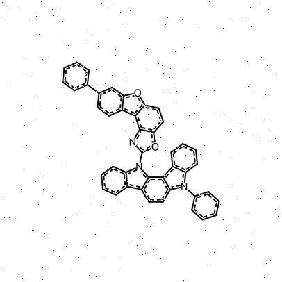 c1ccc(-c2ccc3c(c2)oc2ccc4oc(-n5c6ccccc6c6ccc7c(c8ccccc8n7-c7ccccc7)c65)nc4c23)cc1